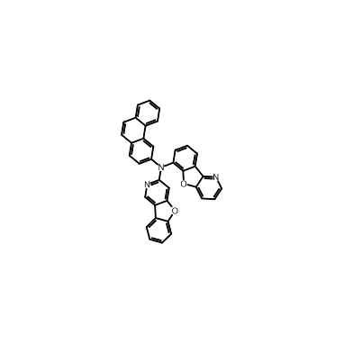 c1ccc2c(c1)ccc1ccc(N(c3cc4oc5ccccc5c4cn3)c3cccc4c3oc3cccnc34)cc12